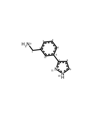 NCc1cccc(-c2cc[nH]n2)c1